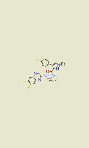 CCn1cc(-c2ccc(F)cc2)c(C(=O)N2CCC[C@H]2CNc2cnc3cc(F)c(F)cc3n2)n1